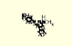 CNc1cc(N2CCOCC2)nc(SCc2ccc(OC)cc2)n1